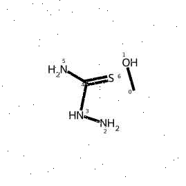 CO.NNC(N)=S